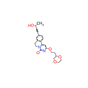 CC(O)C#Cc1ccc2c(c1)CCn1c-2cc(OCCC2COCCO2)nc1=O